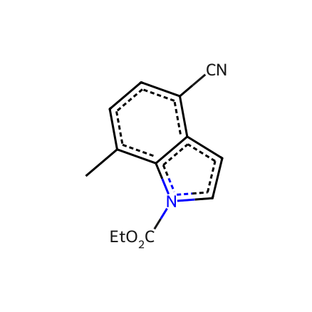 CCOC(=O)n1ccc2c(C#N)ccc(C)c21